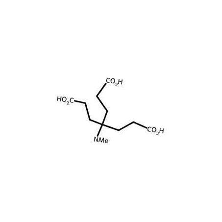 CNC(CCC(=O)O)(CCC(=O)O)CCC(=O)O